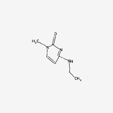 CCNc1ccn(C)c(=O)n1